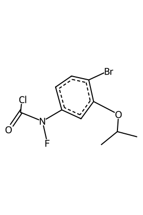 CC(C)Oc1cc(N(F)C(=O)Cl)ccc1Br